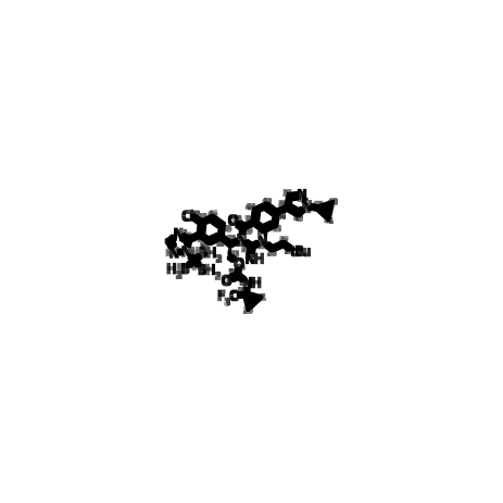 BC(B)(B)n1ncnc1-c1cc([C@@H](COC(=O)NC2(C(F)(F)F)CC2)N(C(=N)NCCC(C)(C)C)C(=O)c2ccc(-c3cnn(C4CC4)c3)cc2)ccc1Cl